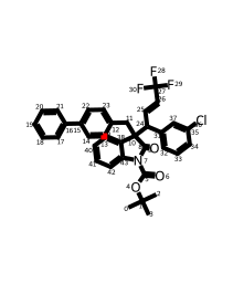 CC(C)(C)OC(=O)N1C(=O)C(Cc2ccc(-c3ccccc3)cc2)(C(/C=C/C(F)(F)F)c2cccc(Cl)c2)c2ccccc21